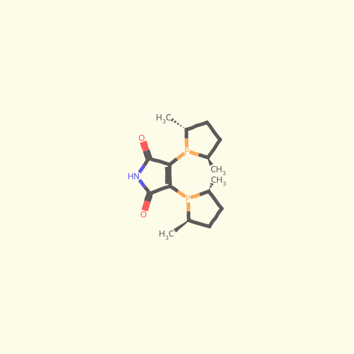 C[C@@H]1CC[C@@H](C)P1C1=C(P2[C@H](C)CC[C@H]2C)C(=O)NC1=O